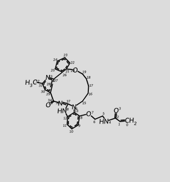 C=CC(=O)NCCOc1cccc2c1N1CCCCCOc3ccccc3-c3cc(cc(C)n3)C(=O)/N=C/1N2